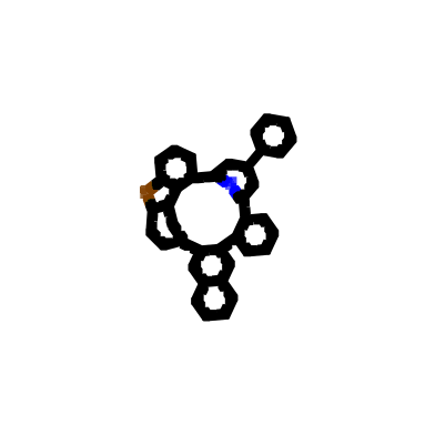 c1ccc(-c2cc3nc(c2)c2cccc4sc5ccc(cc5c42)c2cc4ccccc4cc2c2ccccc32)cc1